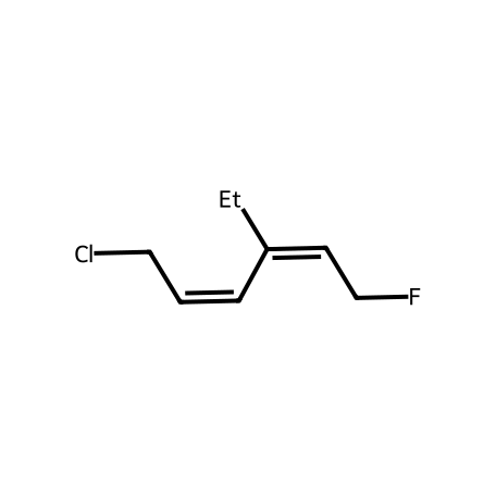 CCC(/C=C\CCl)=C/CF